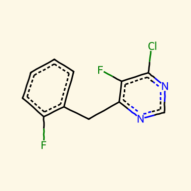 Fc1ccccc1Cc1ncnc(Cl)c1F